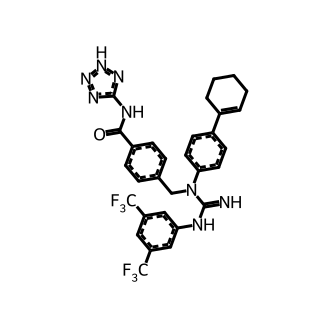 N=C(Nc1cc(C(F)(F)F)cc(C(F)(F)F)c1)N(Cc1ccc(C(=O)Nc2nn[nH]n2)cc1)c1ccc(C2=CCCCC2)cc1